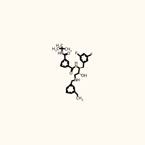 CCc1cccc(CNC[C@@H](O)[C@H](Cc2cc(F)cc(F)c2)NC(=O)c2cccc(C(=O)NC(C)(C)C)c2)c1